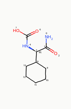 NC(=O)[C@H](NC(=O)O)C1CCCCC1